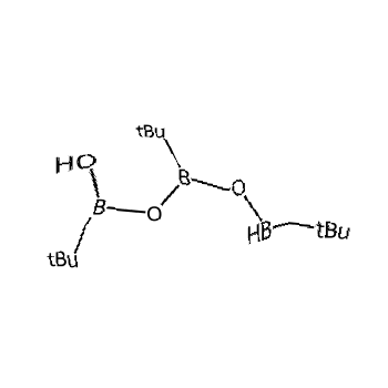 CC(C)(C)BOB(OB(O)C(C)(C)C)C(C)(C)C